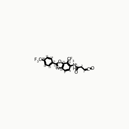 O=C=CCC(=O)Nc1ccc2nc(-c3ccc(C(F)(F)F)cc3)oc2c1C(F)(F)F